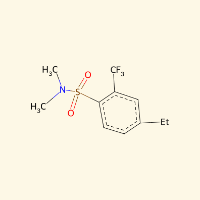 CCc1ccc(S(=O)(=O)N(C)C)c(C(F)(F)F)c1